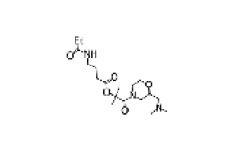 CCC(=O)NCCCC(=O)OC(C)(C)C(=O)N1CCOC(CN(C)C)C1